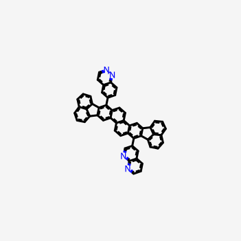 c1cnc2ncc(-c3c4c(cc5c3ccc3c6cc7c(c(-c8ccc9nnccc9c8)c6ccc53)-c3cccc5cccc-7c35)-c3cccc5cccc-4c35)cc2c1